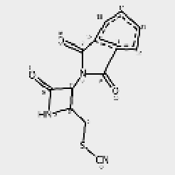 N#CSCC1NC(=O)C1N1C(=O)c2ccccc2C1=O